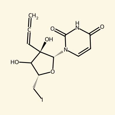 C=C=C[C@@]1(O)C(O)[C@@H](CI)O[C@H]1n1ccc(=O)[nH]c1=O